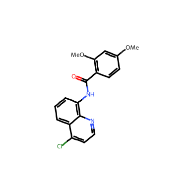 COc1ccc(C(=O)Nc2cccc3c(Cl)ccnc23)c(OC)c1